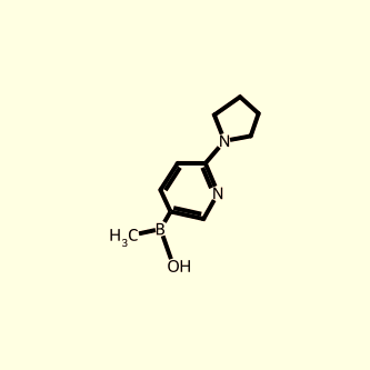 CB(O)c1ccc(N2CCCC2)nc1